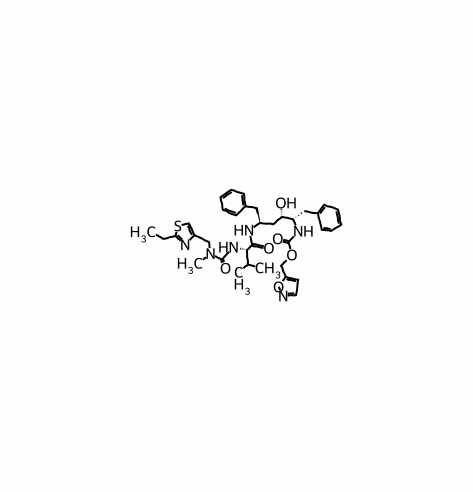 CCc1nc(CN(C)C(=O)N[C@H](C(=O)N[C@@H](Cc2ccccc2)C[C@H](O)[C@H](Cc2ccccc2)NC(=O)OCc2ccno2)C(C)C)cs1